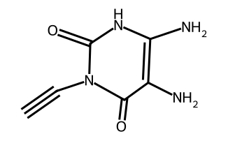 C#Cn1c(=O)[nH]c(N)c(N)c1=O